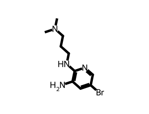 CN(C)CCCNc1ncc(Br)cc1N